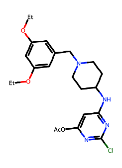 CCOc1cc(CN2CCC(Nc3cc(OC(C)=O)nc(Cl)n3)CC2)cc(OCC)c1